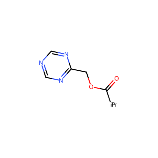 CC(C)C(=O)OCc1ncncn1